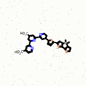 C[Si]1(C)c2ccsc2-c2sc(-c3ccc(-c4ccnc(-c5cc(C(=O)O)cc(-c6cc(C(=O)O)ccn6)n5)c4)s3)cc21